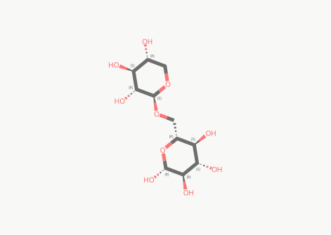 O[C@@H]1[C@@H](O)[C@H](O)O[C@H](CO[C@@H]2OC[C@@H](O)[C@H](O)[C@H]2O)[C@H]1O